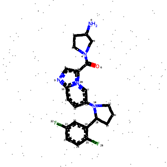 NC1CCN(C(=O)c2cnc3ccc(N4CCCC4c4cc(F)ccc4F)cn23)C1